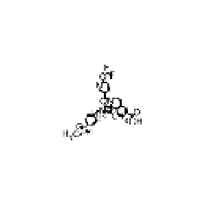 CCS(=O)(=O)c1ccc(CNC(=O)[C@@]2(C(C)C)c3ccc(C(=O)O)cc3CCN2Cc2ccc(OC(F)F)nc2)cc1